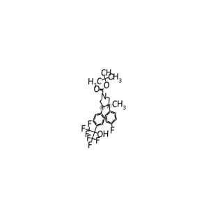 CC(C)(C)OC(=O)N1C[C@H](c2ccc(C(O)(C(F)(F)F)C(F)(F)F)cc2)[C@](C)(c2ccc(F)cc2)C1